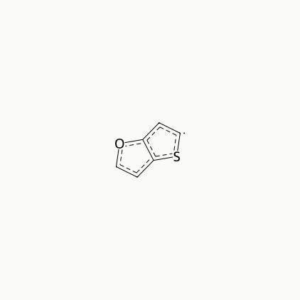 [c]1cc2occc2s1